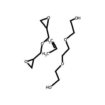 C(OCC1CO1)C1CO1.C=CC.OCCOCCOCCO